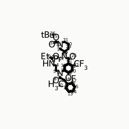 CCC(=O)NCCN1C(=O)C(C)(c2ccccc2F)Oc2cc(C(F)(F)F)c(C(=O)N(C(C)C)[C@@H]3CCCN(C(=O)OC(C)(C)C)C3)cc21